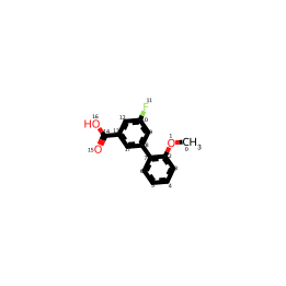 COc1ccccc1-c1cc(F)cc(C(=O)O)c1